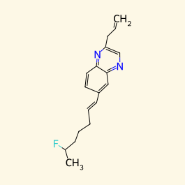 C=CCc1cnc2cc(/C=C/CCCC(C)F)ccc2n1